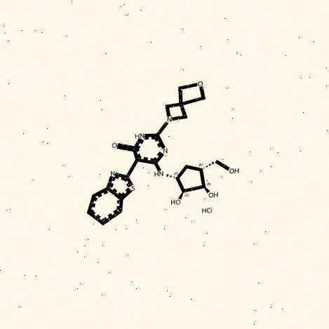 Cl.O=c1[nH]c(N2CC3(COC3)C2)nc(N[C@@H]2C[C@H](CO)[C@@H](O)[C@H]2O)c1-c1nc2ccccc2s1